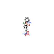 O=C(/C=C/c1cccc(S(=O)(=O)Nc2ccccc2Cl)c1)NO